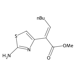 CCCC/C=C(/C(=O)OC)c1csc(N)n1